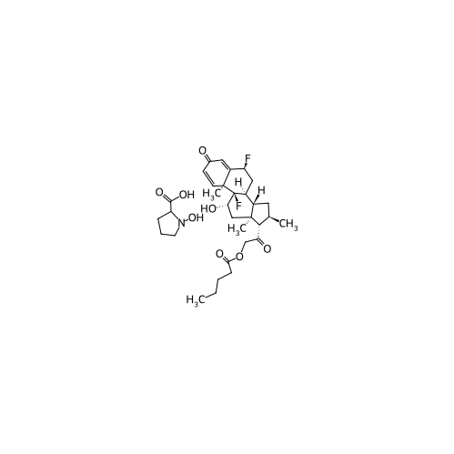 CCCCC(=O)OCC(=O)[C@H]1[C@H](C)C[C@H]2[C@@H]3C[C@H](F)C4=CC(=O)C=C[C@]4(C)[C@@]3(F)[C@@H](O)C[C@@]21C.O=C(O)C1CCCN1O